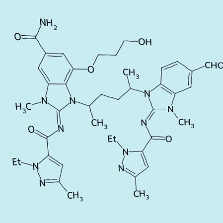 CCn1nc(C)cc1C(=O)/N=c1\n(C)c2cc(C=O)ccc2n1C(C)CCC(C)n1/c(=N/C(=O)c2cc(C)nn2CC)n(C)c2cc(C(N)=O)cc(OCCCO)c21